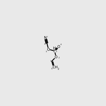 C=CO[PH](=O)OC#N